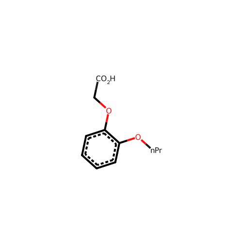 CCCOc1ccccc1OCC(=O)O